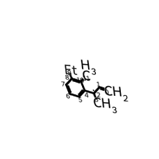 C=C[C](C)c1cccc(CC)c1C